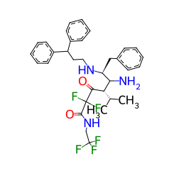 CC(C)[C@H](C(=O)C(F)(F)C(=O)NCC(F)(F)F)C(N)[C@H](Cc1ccccc1)NCCC(c1ccccc1)c1ccccc1